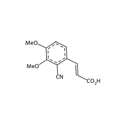 COc1ccc(/C=C/C(=O)O)c(C#N)c1OC